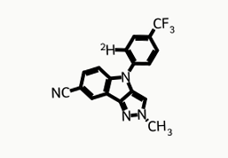 [2H]c1cc(C(F)(F)F)ccc1-n1c2ccc(C#N)cc2c2nn(C)cc21